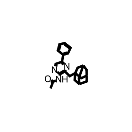 CC(=O)Nc1ncc(-c2ccccc2)nc1CC12CC3CC(CC(C3)C1)C2